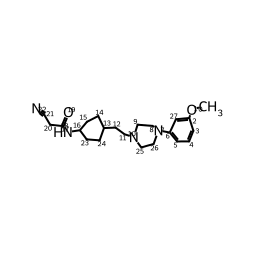 COc1cccc(N2CCN(CCC3CCC(NC(=O)CC#N)CC3)CC2)c1